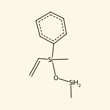 C=C[Si](C)(O[SiH2]C)c1ccccc1